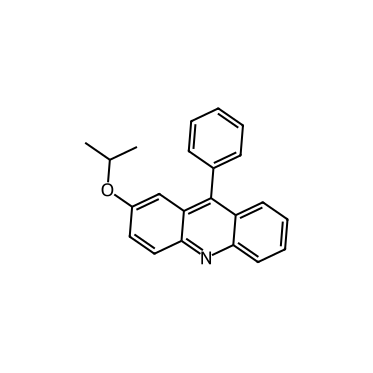 CC(C)Oc1ccc2nc3ccccc3c(-c3ccccc3)c2c1